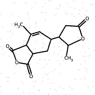 CC1=CC(C2CC(=O)OC2C)CC2C(=O)OC(=O)C12